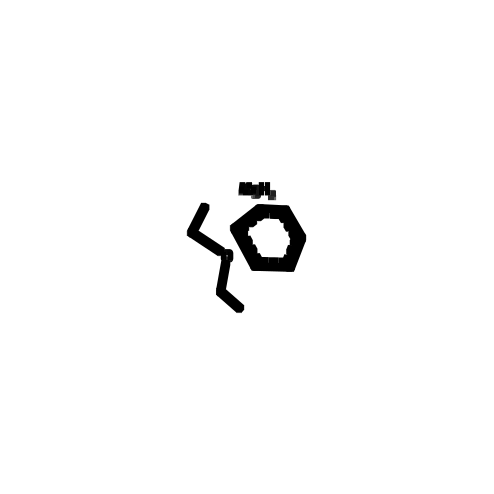 CCOCC.[MgH2].c1ccccc1